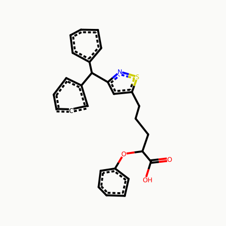 O=C(O)C(CCCc1cc(C(c2ccccc2)c2ccccc2)ns1)Oc1ccccc1